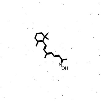 CC(C=CC1=C(C)CCCC1(C)C)=CC=CC(C)=NO